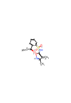 COC(=O)c1ccccc1S(=O)(=O)Nc1onc(C)c1C